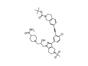 CC(C)(C)OC(=O)N1CCc2ccc(C#Cc3cc(-c4nn(CC(O)CN5CCC(C(N)=O)CC5)c5c4CN(S(C)(=O)=O)CC5)ccc3Cl)cc2C1